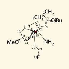 C=C/C(=C\C1=C(C)CC2(CCC(OC)CC2)C12N=C(N)N(CCF)C2=O)OCC(C)C